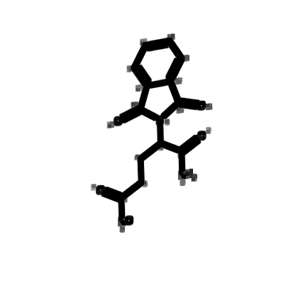 NC(=O)C(CCC(=O)N=O)N1C(=O)c2ccccc2C1=O